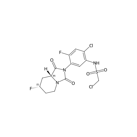 O=C1[C@H]2C[C@@H](F)CCN2C(=O)N1c1cc(NS(=O)(=O)CCl)c(Cl)cc1F